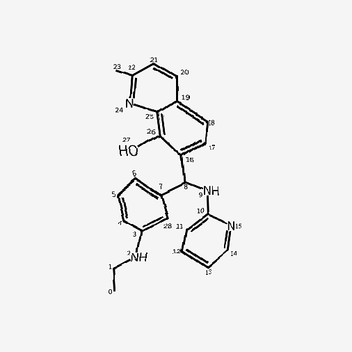 CCNc1cccc(C(Nc2ccccn2)c2ccc3ccc(C)nc3c2O)c1